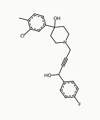 Cc1ccc(C2(O)CCN(CC#CC(O)c3ccc(F)cc3)CC2)cc1Cl